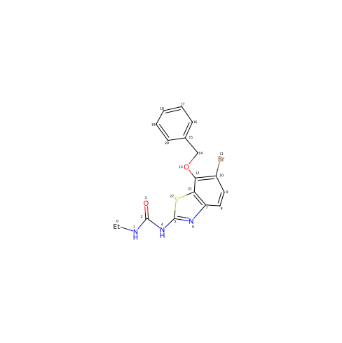 CCNC(=O)Nc1nc2ccc(Br)c(OCc3ccccc3)c2s1